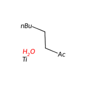 CCCCCCC(C)=O.O.[Ti]